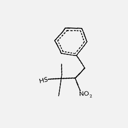 CC(C)(S)C(Cc1ccccc1)[N+](=O)[O-]